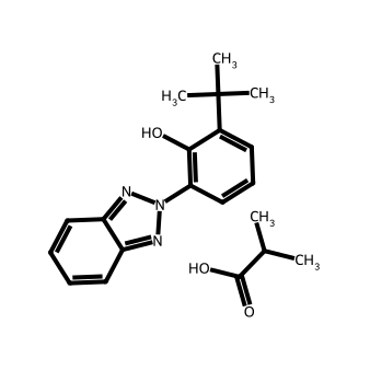 CC(C)(C)c1cccc(-n2nc3ccccc3n2)c1O.CC(C)C(=O)O